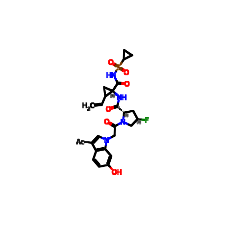 C=CC1C[C@]1(NC(=O)[C@@H]1C[C@@H](F)CN1C(=O)Cn1cc(C(C)=O)c2ccc(O)cc21)C(=O)NS(=O)(=O)C1CC1